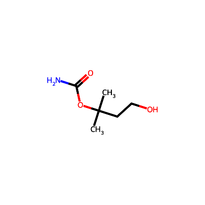 CC(C)(CCO)OC(N)=O